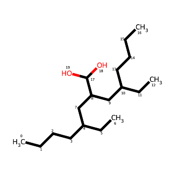 CCCCC(CC)CC(CC(CC)CCCC)C(O)O